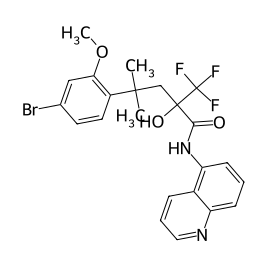 COc1cc(Br)ccc1C(C)(C)CC(O)(C(=O)Nc1cccc2ncccc12)C(F)(F)F